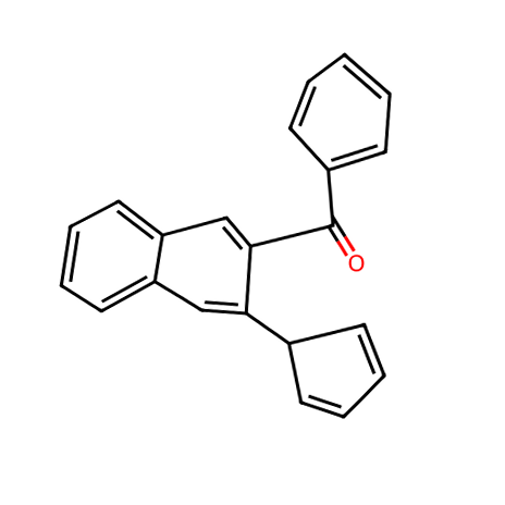 O=C(c1ccccc1)c1cc2ccccc2cc1C1C=CC=C1